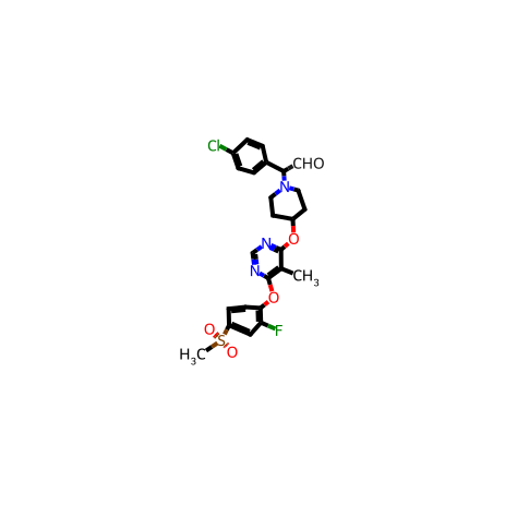 Cc1c(Oc2ccc(S(C)(=O)=O)cc2F)ncnc1OC1CCN(C(C=O)c2ccc(Cl)cc2)CC1